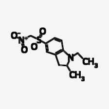 CCN1c2ccc(S(=O)(=O)C[N+](=O)[O-])cc2CC1C